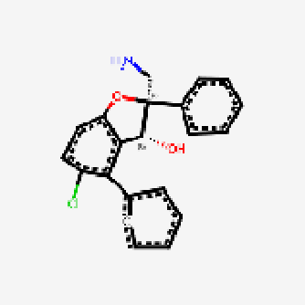 NC[C@@]1(c2ccccc2)Oc2ccc(Cl)c(-c3ccccc3)c2[C@H]1O